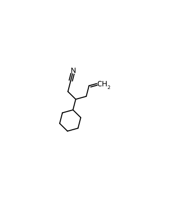 C=CCC(CC#N)C1CCCCC1